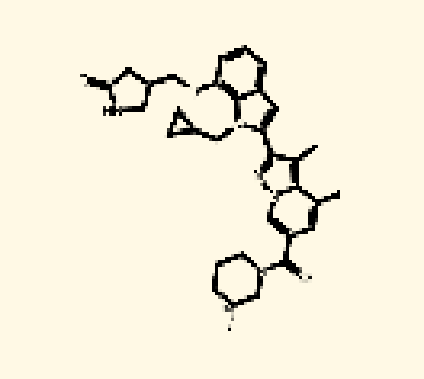 Cc1c(-c2cc3cccc(OCC4CNC(=O)C4)c3n2CC2CC2)nn2cc(C(=O)N3CCC[C@@H](C)C3)cc(F)c12